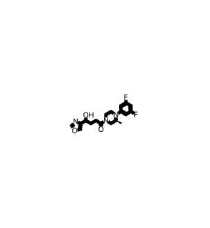 C[C@H]1CN(C(=O)CCC(O)c2cocn2)CCN1c1cc(F)cc(F)c1